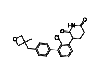 CC1(Cc2ccc(-c3cccc(C4CCC(=O)NC4=O)c3Cl)cc2)COC1